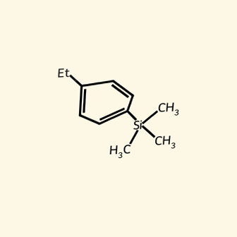 CCc1ccc([Si](C)(C)C)cc1